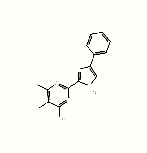 Cc1nc(-c2nc(-c3ccccc3)cs2)nc(O)c1C.N